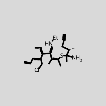 C#CC[C@H](C)C(C)(N)S\C(C)=C(C)/C(=C/NCC)C(=C/C)/C(=C/C=C)CCl